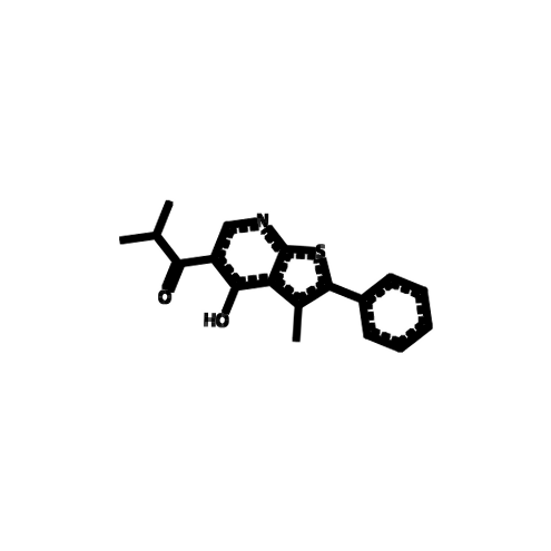 Cc1c(-c2ccccc2)sc2ncc(C(=O)C(C)C)c(O)c12